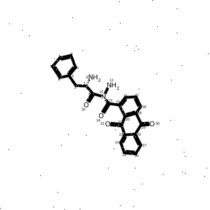 N[C@@H](Cc1ccccc1)C(=O)N(N)C(=O)c1cccc2c1C(=O)c1ccccc1C2=O